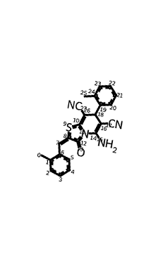 Cc1ccccc1/C=c1/sc2n(c1=O)C(N)=C(C#N)C(c1ccccc1C)C=2C#N